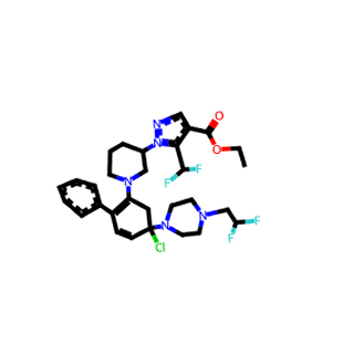 CCOC(=O)c1cnn(C2CCCN(C3=C(c4ccccc4)C=CC(Cl)(N4CCN(CC(F)F)CC4)C3)C2)c1C(F)F